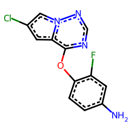 Nc1ccc(Oc2ncnn3cc(Cl)cc23)c(F)c1